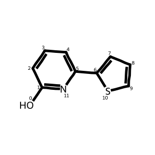 Oc1cccc(-c2cccs2)n1